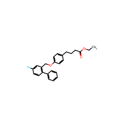 CCOC(=O)CCCc1ccc(OCc2cc(F)ccc2-c2ccccc2)cc1